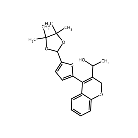 CC(O)C1=C(c2ccc(C3OC(C)(C)C(C)(C)O3)s2)c2ccccc2OC1